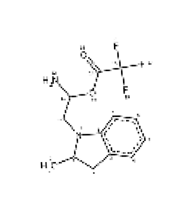 CC1Cc2ccccc2N1CC(N)OC(=O)C(F)(F)F